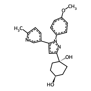 COc1ccc(-n2nc([C@]3(O)CC[C@H](O)CC3)cc2-c2ccc(C)nc2)cc1